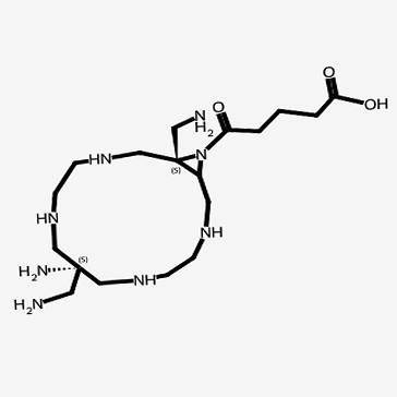 NC[C@]1(N)CNCCNCC2N(C(=O)CCCC(=O)O)[C@@]2(CN)CNCCNC1